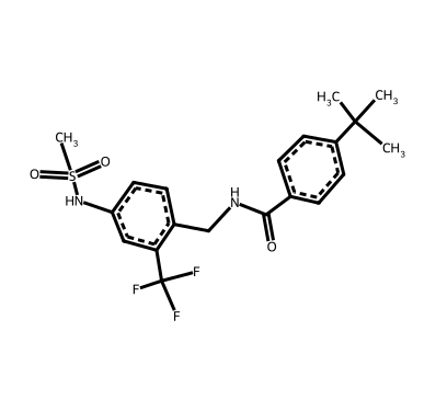 CC(C)(C)c1ccc(C(=O)NCc2ccc(NS(C)(=O)=O)cc2C(F)(F)F)cc1